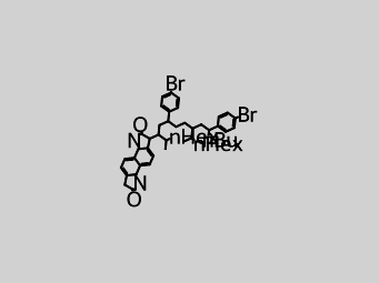 CCCCCCC(C)C(CCC(CC(C(C)CCCCCC)C1C(=O)N=c2c1ccc1c3c(ccc21)CC(=O)N=3)c1ccc(Br)cc1)CC(CCCC)c1ccc(Br)cc1